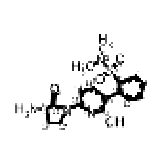 CN(C)S(=O)(=O)c1ccccc1-c1ccc(N2CC[C@H](N)C2=O)nc1.Cl